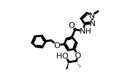 C[C@@H](O)[C@@H](C)Oc1cc(OCc2ccccc2)cc(C(=O)Nc2ccn(C)n2)c1